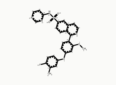 COc1cc(Oc2ccc(F)c(C)c2)ccc1-c1nccc2cc(S(=O)(=O)Nc3ccncn3)ccc12